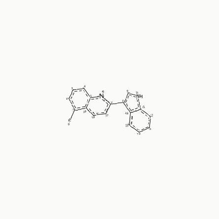 Fc1cccc2nc(-c3c[nH]c4ccccc34)ccc12